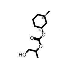 CC(CO)OC(=O)O[C@H]1CCC[C@@H](C)C1